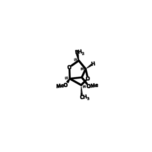 B[C@@H]1O[C@]2(OC)C(OC)[C@@H]1O[C@@H]2C